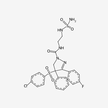 NS(=O)(=O)NCCNC(=O)N1CC(c2ccccc2)(S(=O)(=O)c2ccc(Cl)cc2)C(c2ccc(F)cc2)=N1